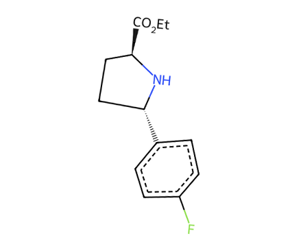 CCOC(=O)[C@@H]1CC[C@@H](c2ccc(F)cc2)N1